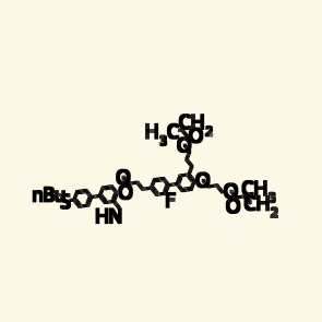 C=C(C)C(=O)OCCCOc1ccc(-c2ccc(CCC(=O)Oc3ccc(-c4ccc(SCCCC)cc4)cc3C=N)cc2F)cc1CCCOC(=O)C(=C)C